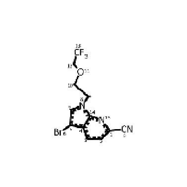 N#Cc1ccc2c(Br)cn(CCOCC(F)(F)F)c2n1